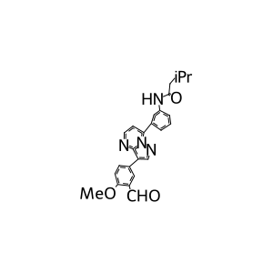 COc1ccc(-c2cnn3c(-c4cccc(NC(=O)CC(C)C)c4)ccnc23)cc1C=O